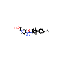 Cc1ccc(C23CC4CC(C2)C(NC(=O)NC2CCN(CCO)CC2)(C4)C3)cc1